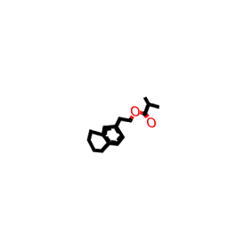 CC(C)C(=O)OCCc1ccc2c(c1)CCCC2